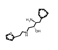 N[C@@H](Cc1ccccc1)[C@H](O)CNCCc1cccs1